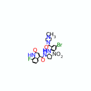 CN1CCN(C(=O)c2cc(Br)cc([N+](=O)[O-])c2N[C@@H]2CCC[C@@H]2NC(=O)c2cc(=O)[nH]c3c(F)cccc23)CC1